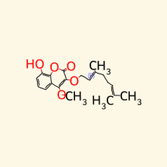 COc1c(OC/C=C(\C)CCC=C(C)C)c(=O)oc2c(O)cccc12